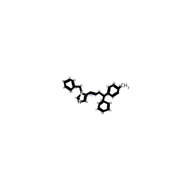 Cc1ccc(C(C/C=C/c2cncn2Cc2ccccc2)c2ccccc2)cc1